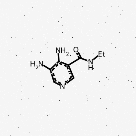 CCNC(=O)c1cncc(N)c1N